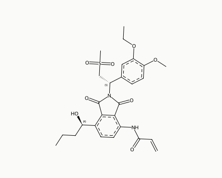 C=CC(=O)Nc1ccc([C@H](O)CCC)c2c1C(=O)N([C@H](CS(C)(=O)=O)c1ccc(OC)c(OCC)c1)C2=O